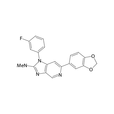 CNc1nc2cnc(-c3ccc4c(c3)OCO4)cc2n1-c1cccc(F)c1